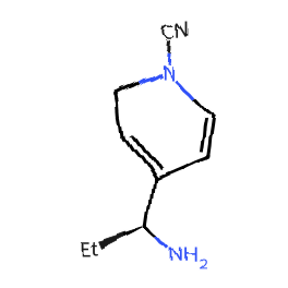 CC[C@H](N)C1=CCN(C#N)C=C1